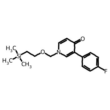 C[Si](C)(C)CCOCn1ccc(=O)c(-c2ccc(F)cc2)c1